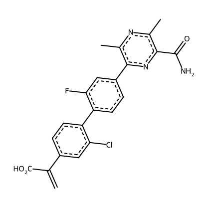 C=C(C(=O)O)c1ccc(-c2ccc(-c3nc(C(N)=O)c(C)nc3C)cc2F)c(Cl)c1